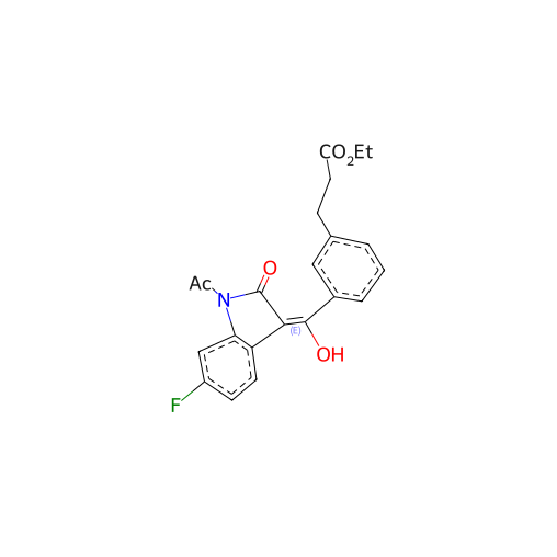 CCOC(=O)CCc1cccc(/C(O)=C2\C(=O)N(C(C)=O)c3cc(F)ccc32)c1